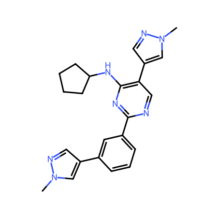 Cn1cc(-c2cccc(-c3ncc(-c4cnn(C)c4)c(NC4CCCC4)n3)c2)cn1